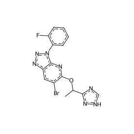 CC(Oc1nc2c(cc1Br)nnn2-c1ccccc1F)c1nc[nH]n1